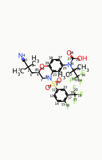 CC(C)(C#N)C[C@@H]1CN(S(=O)(=O)c2ccc(F)c(C(F)(F)F)c2)c2cc(N(C(=O)O)C(C)(C)C(F)(F)F)ccc2O1